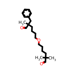 CC(C)(C=O)CCCCOCCCCC(C)(C=O)Cc1ccccc1